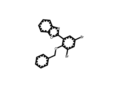 Brc1cc(Br)c(OCc2ccccc2)c(-c2nc3ccccc3o2)c1